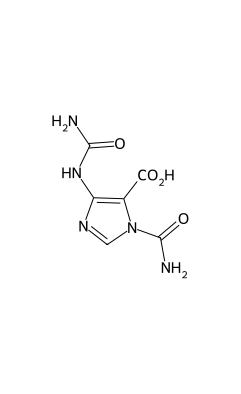 NC(=O)Nc1ncn(C(N)=O)c1C(=O)O